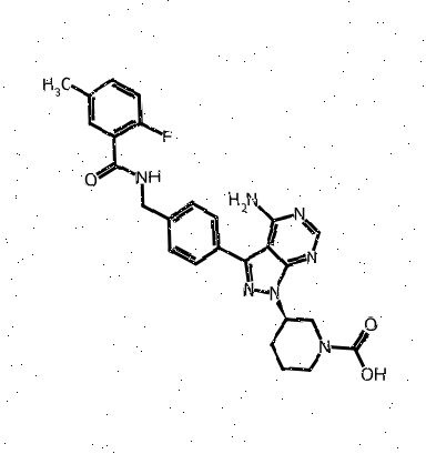 Cc1ccc(F)c(C(=O)NCc2ccc(-c3nn([C@@H]4CCCN(C(=O)O)C4)c4ncnc(N)c34)cc2)c1